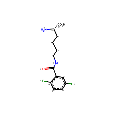 N[C@@H](CCCCNC(=O)c1cc(F)ccc1F)C(=O)O